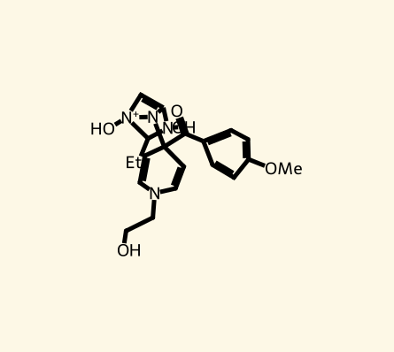 CCC1N(O)C2=C[N+]1(O)N2C1(C(=O)c2ccc(OC)cc2)C=CN(CCO)C=C1